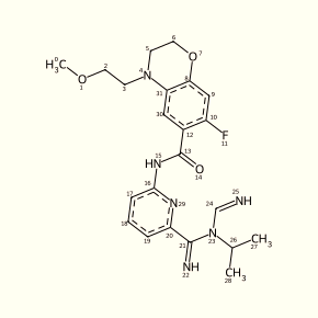 COCCN1CCOc2cc(F)c(C(=O)Nc3cccc(C(=N)N(C=N)C(C)C)n3)cc21